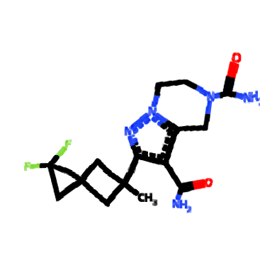 CC1(c2nn3c(c2C(N)=O)CN(C(N)=O)CC3)CC2(C1)CC2(F)F